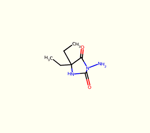 CCC1(CC)NC(=O)N(N)C1=O